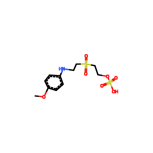 COc1ccc(NCCS(=O)(=O)CCOS(=O)(=O)O)cc1